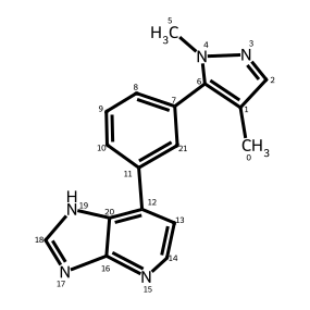 Cc1cnn(C)c1-c1cccc(-c2ccnc3nc[nH]c23)c1